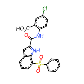 O=C(Nc1ccc(Cl)cc1C(=O)O)c1cc2cccc(S(=O)(=O)c3ccccc3)c2[nH]1